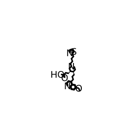 COc1ccc2nccc(CCC[C@@H]3CCN(CCCCc4nccs4)C[C@@H]3CCC(=O)O)c2c1